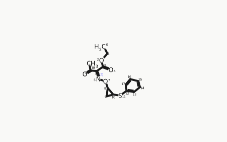 CCOC(=O)/C(=N\OC1CC1Sc1ccccc1)C(C)=O